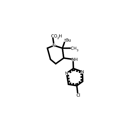 CC(C)(C)C1(C)C(Nc2ncc(Cl)cn2)CCCN1C(=O)O